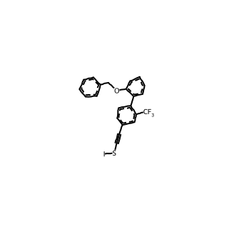 FC(F)(F)c1cc(C#CSI)ccc1-c1ccccc1OCc1ccccc1